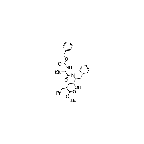 CC(C)CN(C[C@@H](O)C(Cc1ccccc1)NC(=O)[C@@H](NC(=O)OCc1ccccc1)C(C)(C)C)C(=O)OC(C)(C)C